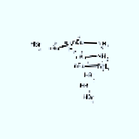 Br.Br.Br.Br.CCCCN.CCCCN.CCCCN.CCCCN